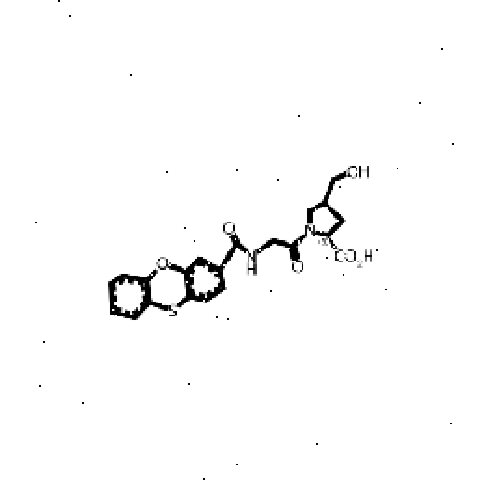 O=C(NCC(=O)N1CC(CO)C[C@H]1C(=O)O)c1ccc2c(c1)Oc1ccccc1S2